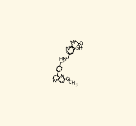 COc1ccc2nccc(-c3ccc(CCNCc4cnc5c(c4)[SH]C(=O)C=N5)cc3)c2n1